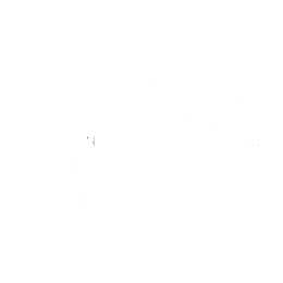 CC(C)(C)[S@@+]([O-])/N=C/c1cccc(-c2ccoc2)c1